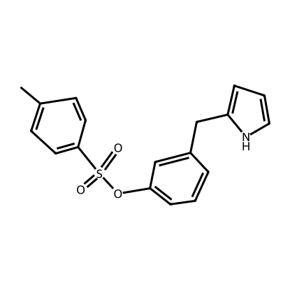 Cc1ccc(S(=O)(=O)Oc2cccc(Cc3ccc[nH]3)c2)cc1